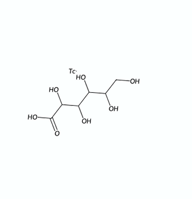 O=C(O)C(O)C(O)C(O)C(O)CO.[Tc]